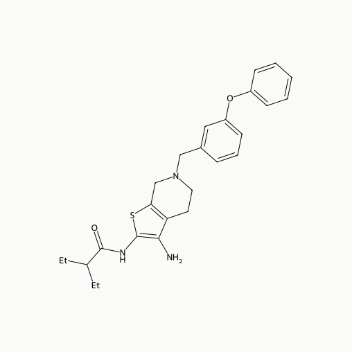 CCC(CC)C(=O)Nc1sc2c(c1N)CCN(Cc1cccc(Oc3ccccc3)c1)C2